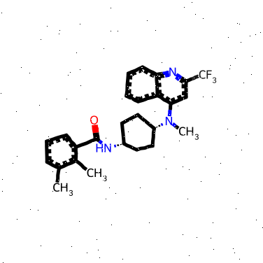 Cc1cccc(C(=O)N[C@H]2CC[C@@H](N(C)c3cc(C(F)(F)F)nc4ccccc34)CC2)c1C